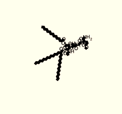 CCCCCCCCCCCCCCC(CCCCCCCCCCCCCC)C(=O)S[C@@H]1O[C@H](COC(=O)CCCCCCCCCCCCC)[C@@H](O)[C@@H](OC(C)C(=O)N[C@@H](C)C(=O)N[C@H](CCC(=O)OC)C(N)=O)[C@H]1NC(C)=O